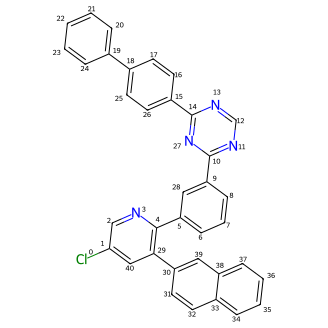 Clc1cnc(-c2cccc(-c3ncnc(-c4ccc(-c5ccccc5)cc4)n3)c2)c(-c2ccc3ccccc3c2)c1